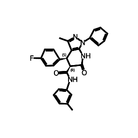 Cc1cccc(NC(=O)[C@@H]2C(=O)Nc3c(c(C)nn3-c3ccccc3)[C@@H]2c2ccc(F)cc2)c1